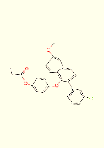 CCC(=O)Oc1ccc(Oc2c(-c3cccc(F)c3)ccc3cc(OC)ccc23)cc1